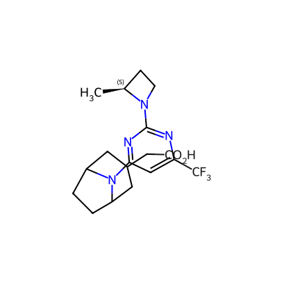 C[C@H]1CCN1c1nc(N2C3CCC2CC(CC(=O)O)C3)cc(C(F)(F)F)n1